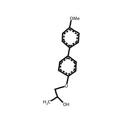 COc1ccc(-c2ccc(OCC(C)O)cc2)cc1